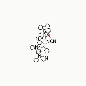 N#Cc1ccc2c(c1)c1ccccc1n2-c1cccc2c1C1(c3ccc(-n4c5ccccc5c5cc(-n6c7ccccc7c7ccncc76)ccc54)cc3O2)c2cc(-n3c4ccccc4c4ccccc43)cnc2-c2ncc(-n3c4ccccc4c4ccccc43)cc21